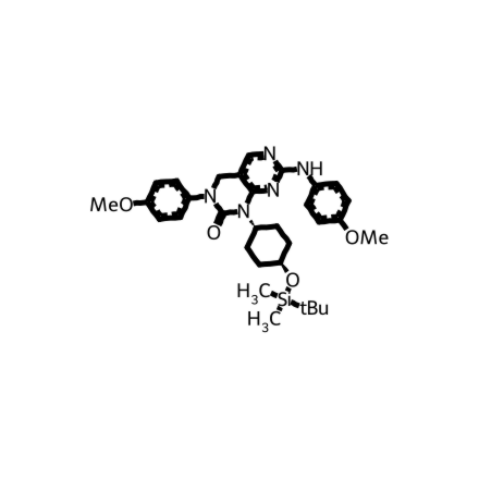 COc1ccc(Nc2ncc3c(n2)N([C@H]2CC[C@H](O[Si](C)(C)C(C)(C)C)CC2)C(=O)N(c2ccc(OC)cc2)C3)cc1